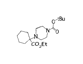 CCOC(=O)C1(N2CCN(C(=O)OC(C)(C)C)CC2)CCCCC1